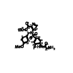 COc1ccc(CN(c2scnc2C(=O)OC(C)(C)C)S(=O)(=O)c2ccc(NC(=O)CN)c(F)c2)cc1